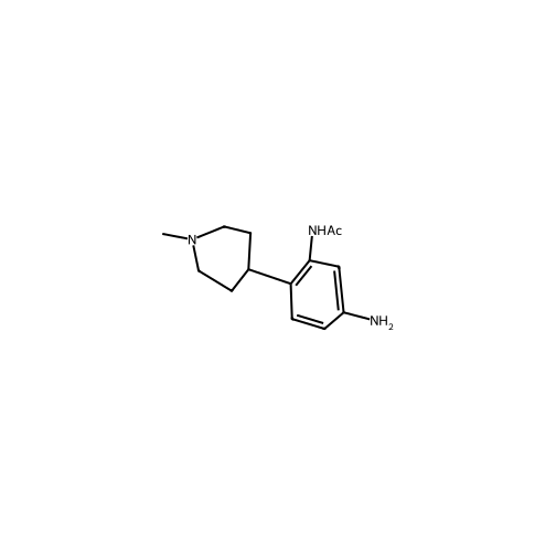 CC(=O)Nc1cc(N)ccc1C1CCN(C)CC1